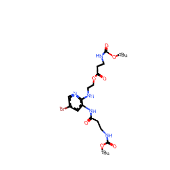 CC(C)(C)OC(=O)NCCC(=O)Nc1cc(Br)cnc1NCCOC(=O)CCNC(=O)OC(C)(C)C